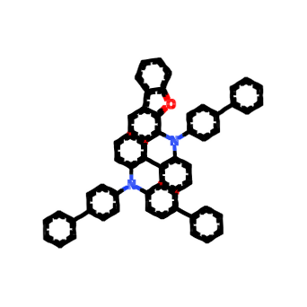 c1ccc(-c2ccc(N(c3ccc(-c4ccccc4)cc3)c3ccccc3-c3ccccc3N(c3ccc(-c4ccccc4)cc3)c3cccc4c3oc3ccccc34)cc2)cc1